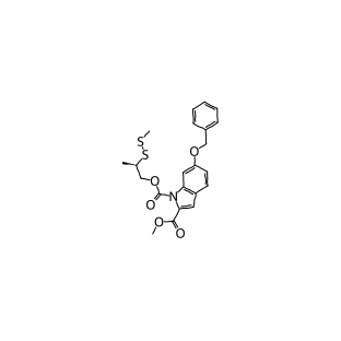 COC(=O)c1cc2ccc(OCc3ccccc3)cc2n1C(=O)OC[C@@H](C)SSC